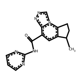 CC1CCc2c1cc(C(=O)Nc1ncccn1)c1nncn21